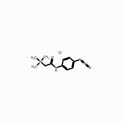 C[N+](C)(C)CC(=O)Nc1ccc(N=[N+]=[N-])cc1.[Cl-]